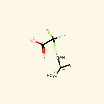 CN[C@@H](C)C(=O)O.O=C(O)C(F)(F)F